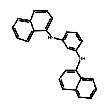 c1cc(Nc2cccc3ccccc23)cc(Nc2cccc3ccccc23)c1